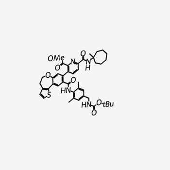 COC(=O)c1nc(C(=O)NC2(C)CCCCCC2)ccc1-c1cc2c(cc1C(=O)Nc1c(C)cc(CNC(=O)OC(C)(C)C)cc1C)-c1sccc1CCO2